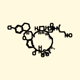 C[C@@H]1[C@@H](C)C/C=C/[C@](O)(CC(=O)N(C)CCN=O)[C@@H]2CC[C@H]2CN2C[C@@]3(CCCc4cc(Cl)ccc43)COc3ccc(cc32)C(=O)NS1(=O)=O